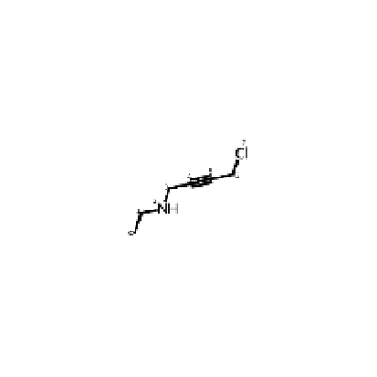 CCNCC#CCCl